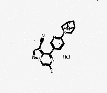 Cl.N#Cc1cnn2cc(Cl)nc(-c3ccc(N4CC5CC(C4)N5)nc3)c12